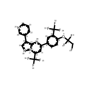 FCC(F)(F)Oc1ccc(-c2cc(C(F)(F)F)n3ncc(-c4cccnc4)c3n2)cc1C(F)(F)F